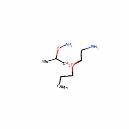 CCCCC(C)ON.COCCOCCN